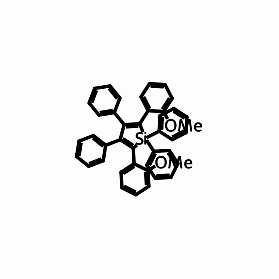 COc1ccccc1C1=C(c2ccccc2)C(c2ccccc2)=C(c2ccccc2OC)[Si]1(c1ccccc1)c1ccccc1